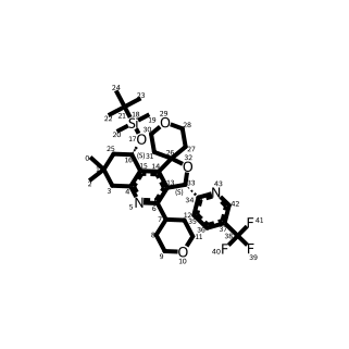 CC1(C)Cc2nc(C3CCOCC3)c3c(c2[C@@H](O[Si](C)(C)C(C)(C)C)C1)C1(CCOCC1)O[C@@H]3c1ccc(C(F)(F)F)cn1